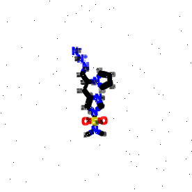 CN(C)S(=O)(=O)n1cnc(C[C@@H](CN=[N+]=[N-])n2cccc2)c1